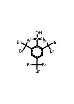 O=S(=O)(O)c1c(C(Br)(Br)Br)cc(C(Br)(Br)Br)cc1C(Br)(Br)Br